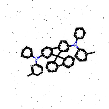 CC1=CC(N(c2ccccc2)c2ccc3c(c2)C2(c4ccccc4-c4ccccc42)c2cc(N(c4ccccc4)c4cccc(C)c4)ccc2-3)=CCC1